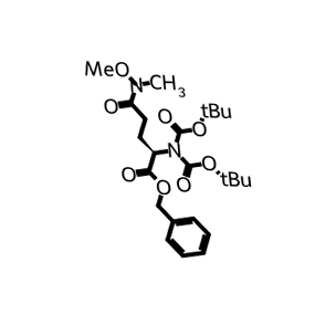 CON(C)C(=O)CC[C@H](C(=O)OCc1ccccc1)N(C(=O)OC(C)(C)C)C(=O)OC(C)(C)C